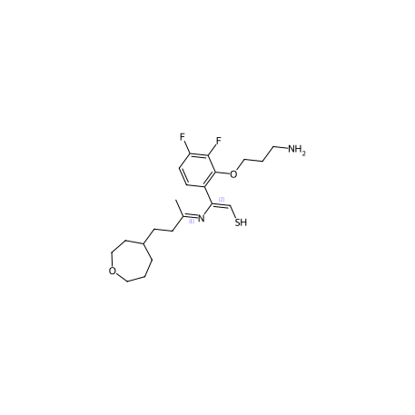 C/C(CCC1CCCOCC1)=N\C(=C/S)c1ccc(F)c(F)c1OCCCN